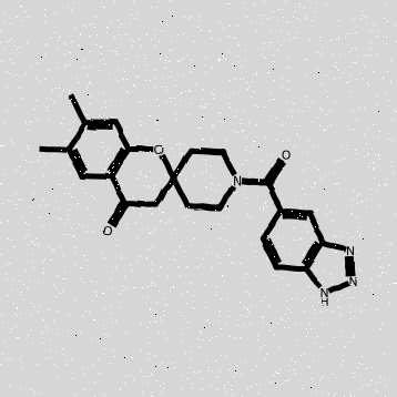 Cc1cc2c(cc1C)C(=O)CC1(CCN(C(=O)c3ccc4[nH]nnc4c3)CC1)O2